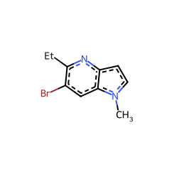 CCc1nc2ccn(C)c2cc1Br